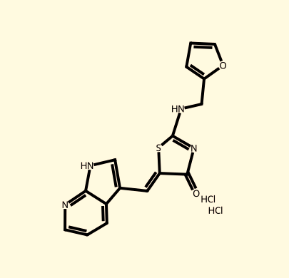 Cl.Cl.O=C1N=C(NCc2ccco2)S/C1=C\c1c[nH]c2ncccc12